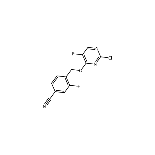 N#Cc1ccc(COc2nc(Cl)ncc2F)c(F)c1